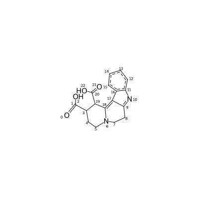 O=C(O)C1CCN2CCC3=Nc4ccccc4C3=C2C1C(=O)O